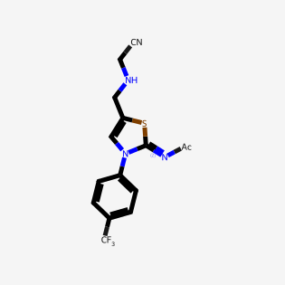 CC(=O)/N=c1\sc(CNCC#N)cn1-c1ccc(C(F)(F)F)cc1